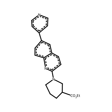 CCOC(=O)C1CCCN(c2ccc3cc(-c4ccncc4)ccc3n2)C1